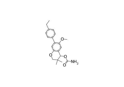 CCc1ccc(-c2cc3c(cc2OC)C(OC(N)=O)C(C)(C)CO3)cc1